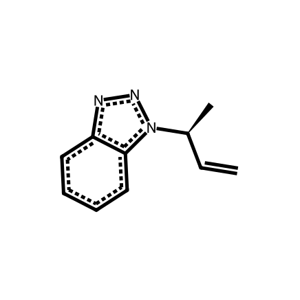 C=C[C@H](C)n1nnc2ccccc21